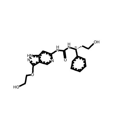 O=C(Nc1cc2[nH]nc(OCCO)c2cn1)N[C@H](CCO)c1ccccc1